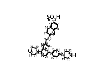 CS(=O)(=O)O.c1ccc2nc(OCc3cn4c(-c5ccc(N6CCNCC6)nc5)cnc(N5CCOCC5)c4n3)ccc2c1